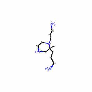 CC1(CCCN)CNCCN1CCCN